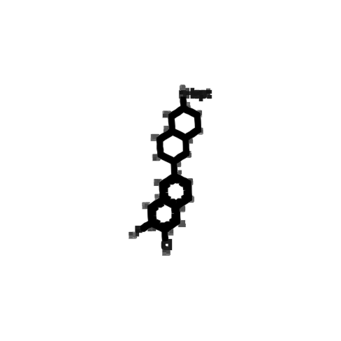 CCCCCCCC1CCC2CC(c3ccc4cc(Cl)c(F)cc4c3)CCC2C1